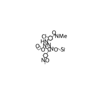 CNC(=O)c1ccc(Nc2nc(OC3CCOC3)c3c(-c4ccc5nc(C)oc5c4)cn(COCC[Si](C)(C)C)c3n2)c(Cl)c1